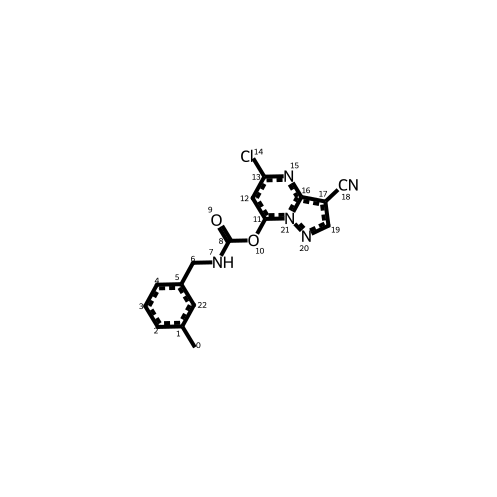 Cc1cccc(CNC(=O)Oc2cc(Cl)nc3c(C#N)cnn23)c1